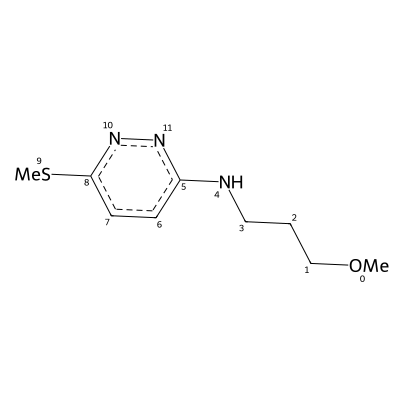 COCCCNc1ccc(SC)nn1